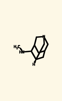 CNC1C2CC3C[C@H]1CN(C3)C2